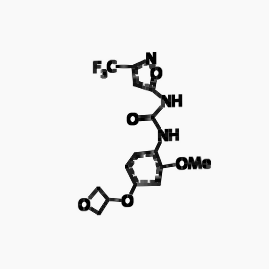 COc1cc(OC2COC2)ccc1NC(=O)Nc1cc(C(F)(F)F)no1